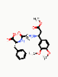 CC(=O)N[C@H](Cc1ccccc1)C(=O)O.COC(=O)C[C@H](N)c1ccc(OC)c(OC)c1